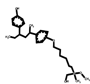 CCC(CC(C)c1ccc(OCCCCCC[Si](C)(CO)OC)cc1)c1ccc(O)cc1